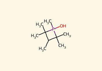 CC1C(C)(C)[P](C)(O)C1(C)C